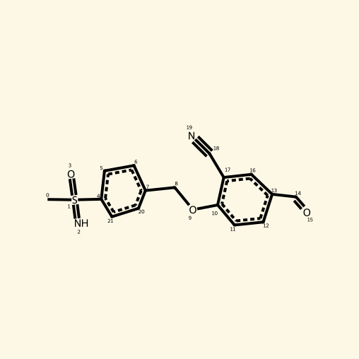 CS(=N)(=O)c1ccc(COc2ccc(C=O)cc2C#N)cc1